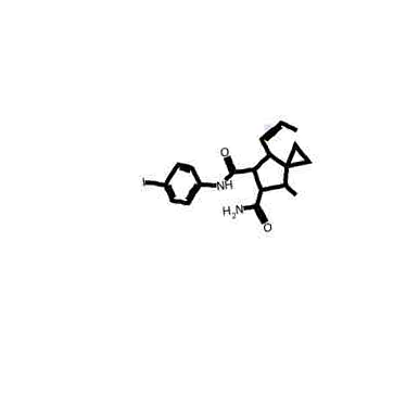 C/C=C\C1C(C(=O)Nc2ccc(I)cc2)C(C(N)=O)C(C)C12CC2